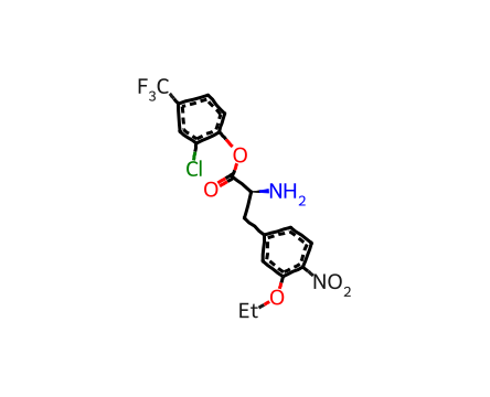 CCOc1cc(C[C@H](N)C(=O)Oc2ccc(C(F)(F)F)cc2Cl)ccc1[N+](=O)[O-]